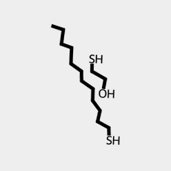 CCCCCCCCCCCCS.OCCS